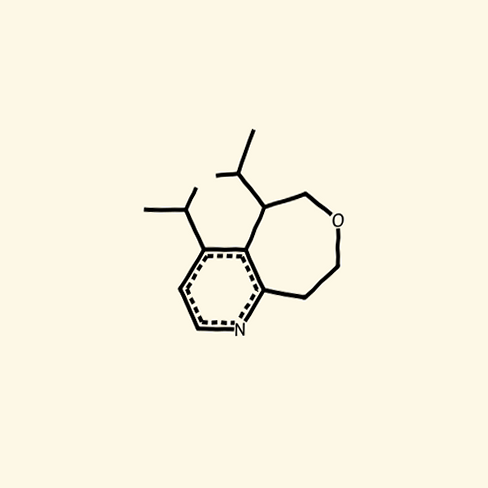 CC(C)c1ccnc2c1C(C(C)C)COCC2